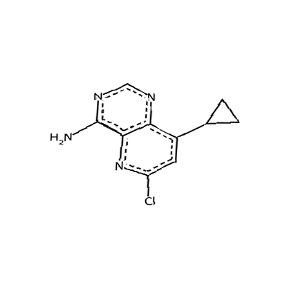 Nc1ncnc2c(C3CC3)cc(Cl)nc12